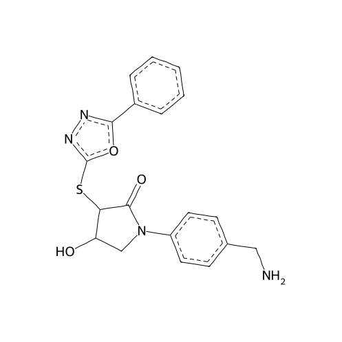 NCc1ccc(N2CC(O)C(Sc3nnc(-c4ccccc4)o3)C2=O)cc1